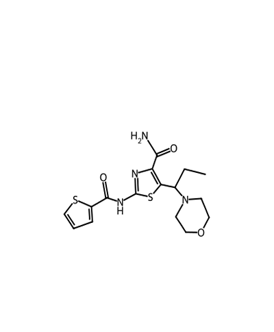 CCC(c1sc(NC(=O)c2cccs2)nc1C(N)=O)N1CCOCC1